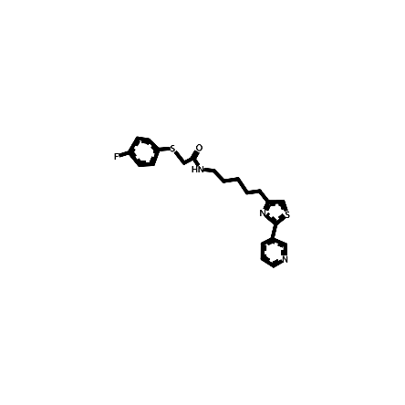 O=C(CSc1ccc(F)cc1)NCCCCCc1csc(-c2cccnc2)n1